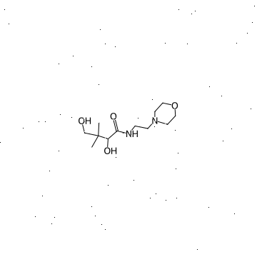 CC(C)(CO)C(O)C(=O)NCCN1CCOCC1